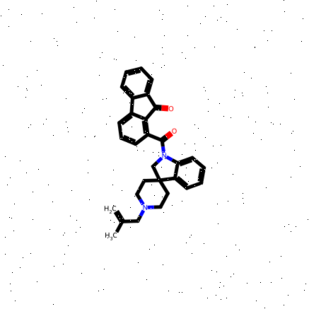 C=C(C)CN1CCC2(CC1)CN(C(=O)c1cccc3c1C(=O)c1ccccc1-3)c1ccccc12